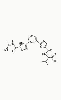 CC(C)C(NC(=O)c1cnc(-c2cccc(-c3nnc(C(=O)N[C@@H](C)C4CC4)[nH]3)c2)o1)C(=O)O